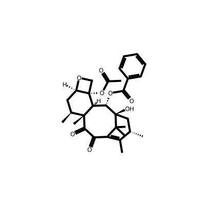 CC(=O)O[C@@]12CO[C@@H]1C[C@H](C)[C@@]1(C)C(=O)C(=O)C3=C(C)[C@@H](C)C[C@@](O)([C@@H](OC(=O)c4ccccc4)[C@H]21)C3(C)C